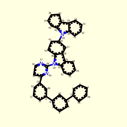 c1ccc(-c2cccc(-c3cccc(-c4ccnc(-n5c6ccccc6c6cc(-n7c8ccccc8c8ccccc87)ccc65)n4)c3)c2)cc1